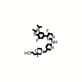 Cc1nc2c(F)cc(-c3nc(Nc4ccc(CN5CCO[C@@](C)(CCO)C5)cn4)ncc3F)cc2n1C(C)C